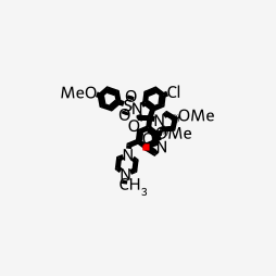 COc1ccc(S(=O)(=O)N2C(=O)C(c3cc(CN4CCN(C)CC4)ccc3OC)(N3C[C@H](OC)C[C@H]3c3ncco3)c3cc(Cl)ccc32)cc1